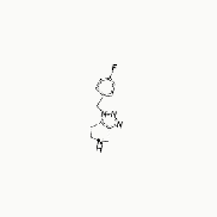 Fc1ccc(Cn2nnc3c2CCNC3)cc1